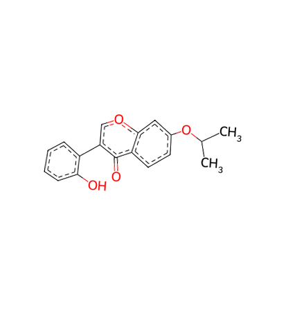 CC(C)Oc1ccc2c(=O)c(-c3ccccc3O)coc2c1